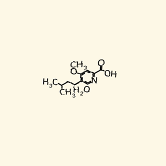 COc1cc(C(=O)O)ncc1CCC(C)C.O